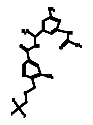 CC(=O)Nc1cc(C(C)NC(=O)c2cnc(COCC(F)(F)F)c(C)c2)cc(C)n1